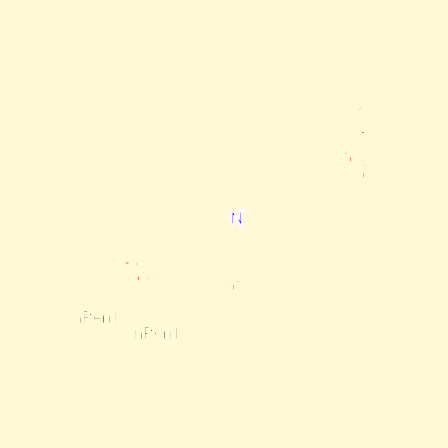 CCCCCC(CCCCC)CCOC(=O)CCCCCCCN(CCCCO)CCCCCCCCOC(=O)CC12CCC(C1)C2